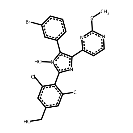 CSc1nccc(-c2nc(-c3c(Cl)cc(CO)cc3Cl)n(O)c2-c2cccc(Br)c2)n1